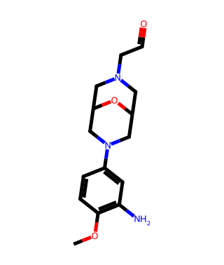 COc1ccc(N2CC3CN(CC=O)CC(C2)O3)cc1N